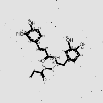 CCC(=O)OC[C@@H](Cc1ccc(O)c(O)c1)NC(=O)C=Cc1ccc(O)c(O)c1